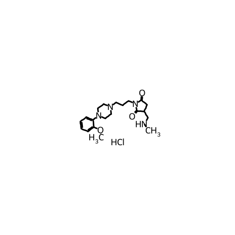 CNCC1CC(=O)N(CCCN2CCN(c3ccccc3OC)CC2)C1=O.Cl